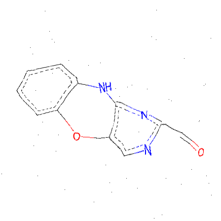 O=Cc1ncc2c(n1)Nc1ccccc1O2